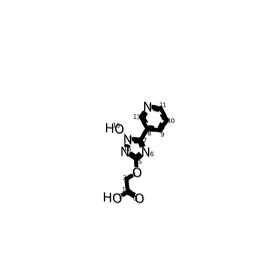 O=C(O)COc1nc(-c2cccnc2)n(O)n1